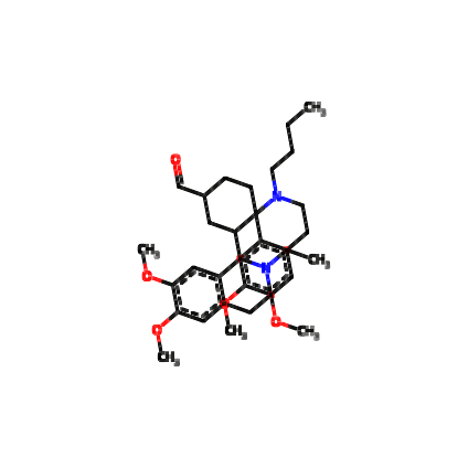 CCCCN1CCc2cc(OC)c(OC)cc2C12CCC(C=O)CC2C1c2cc(OC)c(OC)cc2CCN1CC